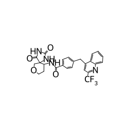 O=C1NC(=O)C2(COCCC2NC(=O)c2ccc(Cc3cc(C(F)(F)F)nc4ccccc34)cc2)N1